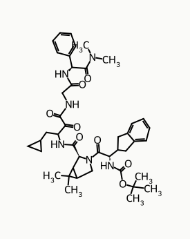 CN(C)C(=O)[C@@H](NC(=O)CNC(=O)C(=O)C(CC1CC1)NC(=O)[C@@H]1C2C(CN1C(=O)[C@@H](NC(=O)OC(C)(C)C)C1Cc3ccccc3C1)C2(C)C)c1ccccc1